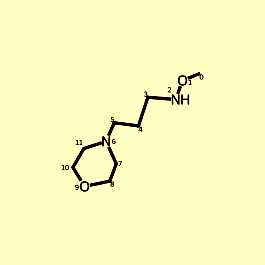 CONCCCN1CCOCC1